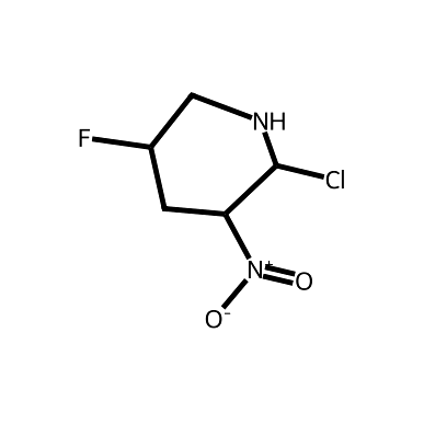 O=[N+]([O-])C1CC(F)CNC1Cl